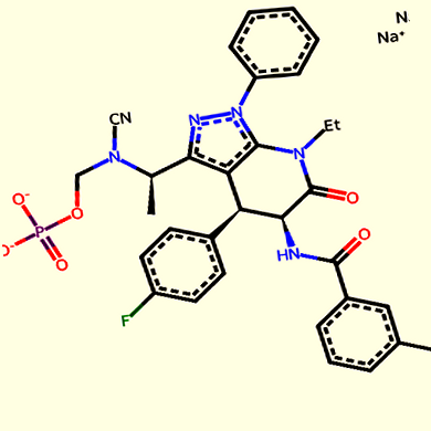 CCN1C(=O)[C@@H](NC(=O)c2cccc(C(F)(F)F)c2)[C@@H](c2ccc(F)cc2)c2c([C@@H](C)N(C#N)COP(=O)([O-])[O-])nn(-c3ccccc3)c21.[Na+].[Na+]